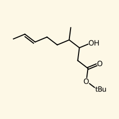 CC=CCCC(C)C(O)CC(=O)OC(C)(C)C